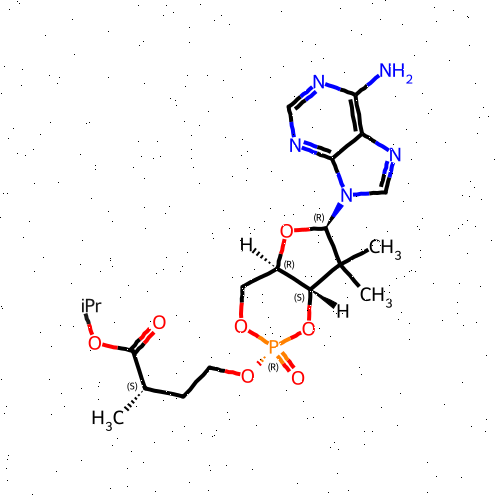 CC(C)OC(=O)[C@@H](C)CCO[P@]1(=O)OC[C@H]2O[C@@H](n3cnc4c(N)ncnc43)C(C)(C)[C@@H]2O1